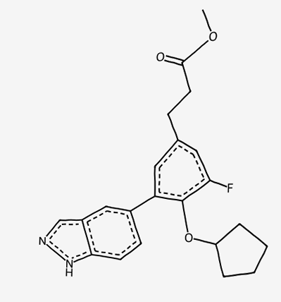 COC(=O)CCc1cc(F)c(OC2CCCC2)c(-c2ccc3[nH]ncc3c2)c1